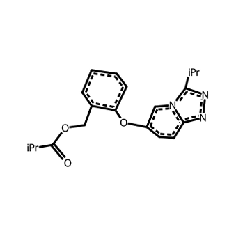 CC(C)C(=O)OCc1ccccc1Oc1ccc2nnc(C(C)C)n2c1